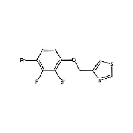 CC(C)c1ccc(OCc2cscn2)c(Br)c1F